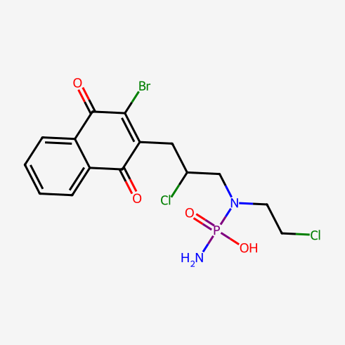 NP(=O)(O)N(CCCl)CC(Cl)CC1=C(Br)C(=O)c2ccccc2C1=O